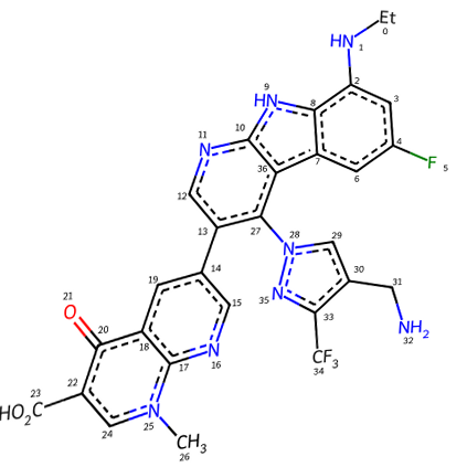 CCNc1cc(F)cc2c1[nH]c1ncc(-c3cnc4c(c3)c(=O)c(C(=O)O)cn4C)c(-n3cc(CN)c(C(F)(F)F)n3)c12